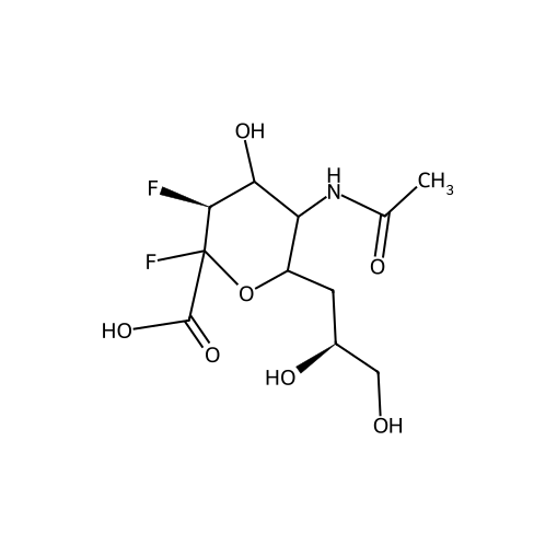 CC(=O)NC1C(C[C@H](O)CO)OC(F)(C(=O)O)[C@@H](F)C1O